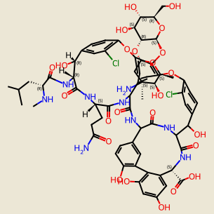 CN[C@H](CC(C)C)C(=O)N[C@H]1C(=O)N[C@@H](CCC(N)=O)C(=O)NC2C(=O)NC3C(=O)NC(C(=O)N[C@H](C(=O)O)c4cc(O)cc(O)c4-c4cc3ccc4O)C(O)c3ccc(c(Cl)c3)Oc3cc2cc(c3O[C@@H]2O[C@H](CO)[C@@H](O)[C@H](O)[C@H]2O[C@H]2C[C@](C)(N)[C@H](O)[C@H](C)O2)Oc2ccc(cc2Cl)[C@H]1O